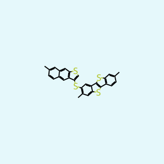 Cc1ccc2cc3c(Sc4cc5c(cc4C)sc4c6ccc(C)cc6sc54)csc3cc2c1